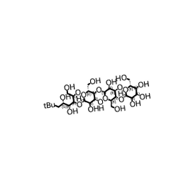 CC(C)(C)C[C@H](O)[C@@H](O)[C@H](O[C@@H]1O[C@H](CO)[C@@H](O[C@@H]2O[C@H](CO)[C@@H](O[C@@H]3O[C@H](CO)[C@@H](O)[C@H](O)[C@H]3O)[C@H](O)[C@H]2O)[C@H](O)[C@H]1O)[C@H](O)CO